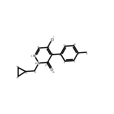 Cc1ccc(-c2c(Cl)cnn(CC3CC3)c2=O)cc1